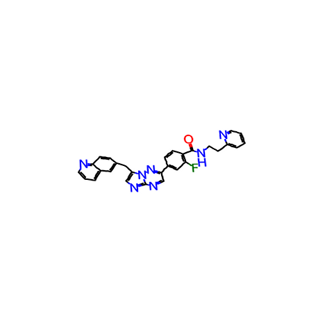 O=C(NCCc1ccccn1)c1ccc(-c2cnc3ncc(Cc4ccc5ncccc5c4)n3n2)cc1F